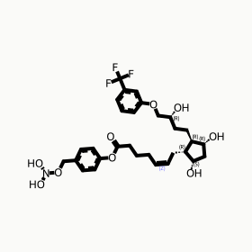 O=C(CCC/C=C\C[C@@H]1[C@@H](CC[C@@H](O)COc2cccc(C(F)(F)F)c2)[C@H](O)C[C@@H]1O)Oc1ccc(CON(O)O)cc1